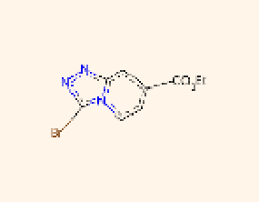 CCOC(=O)c1ccn2c(Br)nnc2c1